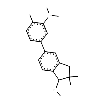 CN(C)c1cc(-c2ccc3c(c2)CC(C)(C)C3NC(=O)O)ccc1F